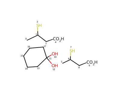 CC(S)CC(=O)O.CC(S)CC(=O)O.OC1(O)CCCCC1